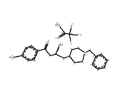 Nc1ccc(C(=O)CC(O)CC2CCN(Cc3ccccc3)CC2)cc1.O=C(O)C(F)(F)F